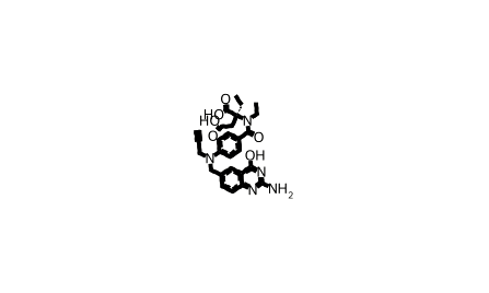 C#CCN(Cc1ccc2nc(N)nc(O)c2c1)c1ccc(C(=O)N(CC)[C@@](CC)(CC(=O)O)C(=O)O)cc1